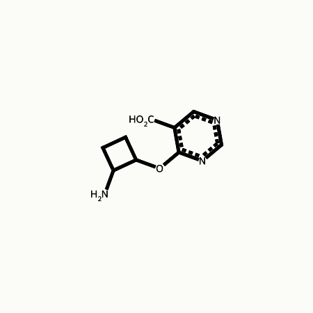 NC1CCC1Oc1ncncc1C(=O)O